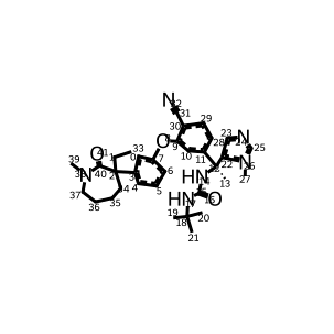 CCC1(c2cccc(Oc3cc([C@](C)(NC(=O)NC(C)(C)C)c4cncn4C)ccc3C#N)c2)CCCCN(C)C1=O